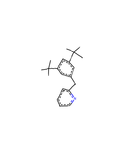 CC(C)(C)c1cc(Cc2ccccn2)cc(C(C)(C)C)c1